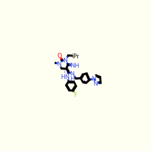 CC(C)CN1C(=N)/C(=C(\NCc2ccc(-n3cccn3)cc2)Nc2ccc(F)cc2)CN(C)C1=O